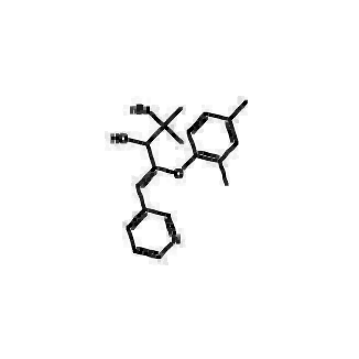 CCCCC(C)(C)C(O)C(=Cc1cccnc1)Oc1ccc(C)cc1C